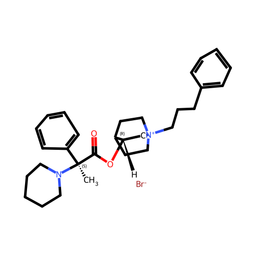 C[C@@](C(=O)O[C@H]1C[N+]2(CCCc3ccccc3)CCC1CC2)(c1ccccc1)N1CCCCC1.[Br-]